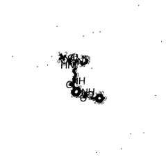 CC(C)(C)OC(=O)N[C@@H](CCCCNC(=O)c1cccc(NC(=O)OCc2ccccc2)c1)C(=O)N1CCSC1